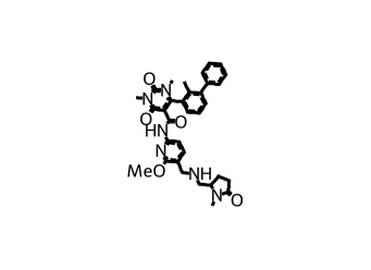 COc1nc(NC(=O)c2c(-c3cccc(-c4ccccc4)c3C)n(C)c(=O)n(C)c2=O)ccc1CNCC1CCC(=O)N1C